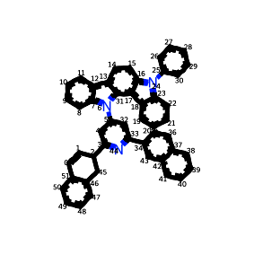 C1=CC(c2cc(-n3c4ccccc4c4ccc5c(c6ccccc6n5-c5ccccc5)c43)cc(-c3ccc4ccccc4c3)n2)Cc2ccccc21